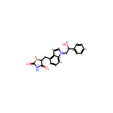 O=C1NC(=O)C(Cc2cccc3c2ccn3CC(O)c2ccccc2)S1